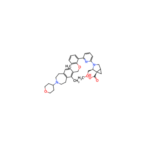 COC[C@H]1N(c2cccc(-c3cccc(C)c3OCc3ccc4c(c3C)CCN(C3CCOCC3)CC4)n2)CC2C[C@@]21C(=O)O